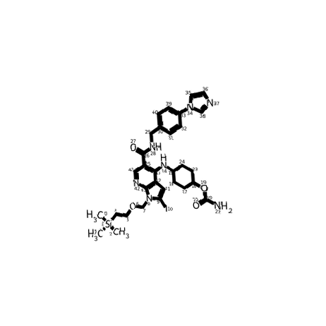 C[Si](C)(C)CCOCn1c(I)cc2c(NC3CCC(OC(N)=O)CC3)c(C(=O)NCc3ccc(-n4ccnc4)cc3)cnc21